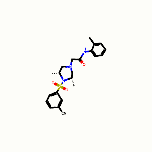 Cc1ccccc1NC(=O)CN1C[C@@H](C)N(S(=O)(=O)c2cccc(C#N)c2)[C@@H](C)C1